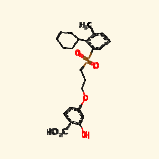 Cc1cccc(S(=O)(=O)CCCOc2ccc(C(=O)O)c(O)c2)c1C1CCCCC1